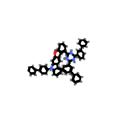 c1ccc(-c2ccc(-n3c4ccccc4c4cc5c(cc43)oc3cccc(-c4nc(-c6cccc(-c7ccccc7)c6)nc(-c6cccc(-c7ccccc7)c6)n4)c35)cc2)cc1